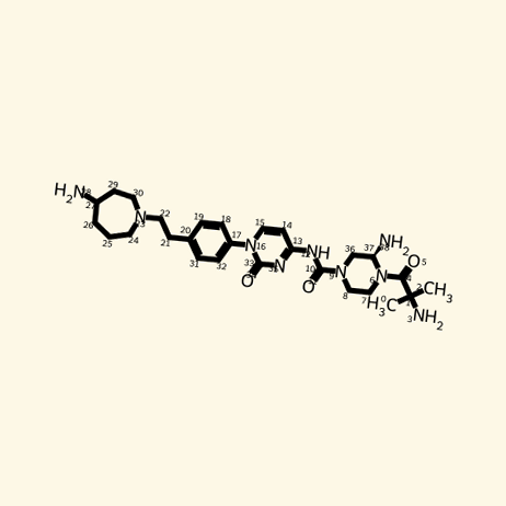 CC(C)(N)C(=O)N1CCN(C(=O)Nc2ccn(-c3ccc(CCN4CCCC(N)CC4)cc3)c(=O)n2)C[C@H]1N